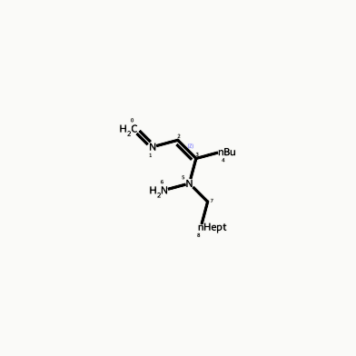 C=N/C=C(/CCCC)N(N)CCCCCCCC